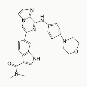 CN(C)C(=O)c1c[nH]c2cc(-c3cn4ccnc4c(Nc4ccc(N5CCOCC5)cc4)n3)ccc12